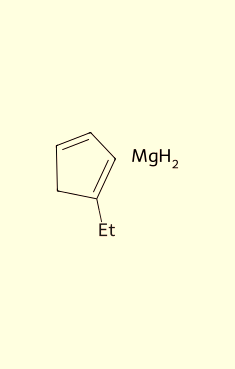 CCC1=CC=CC1.[MgH2]